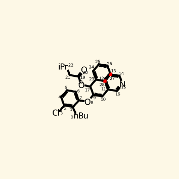 CCCCc1c(Cl)cccc1O/C(=C/c1cccnc1)C(OC(=O)CC(C)C)c1ccccc1